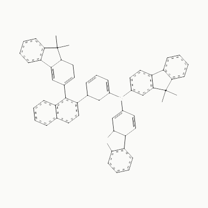 CC1(C)c2ccccc2-c2ccc(N(C3=CC4Oc5ccccc5C4C=C3)C3=CC=CC(c4ccc5ccccc5c4C4=CCC5C(=C4)c4ccccc4C5(C)C)C3)cc21